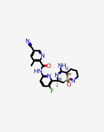 Cc1cc(C#N)cnc1C(=O)Nc1ccc(F)c([C@]2(C)C[S@]3(=O)=NCCC[C@]3(C)C(N)=N2)n1